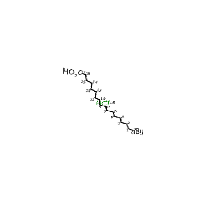 CCC(C)CCCCCCCCCCCCCCCCC(=O)O.Cl